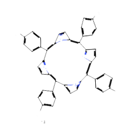 Cc1ccc(-c2c3nc(c(-c4ccc(C)cc4)c4ccc([nH]4)c(-c4ccc(C)cc4)c4nc(c(-c5ccc(C)cc5)c5ccc2[nH]5)C=C4)C=C3)cc1.[Ni]